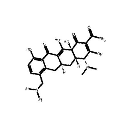 CCN(CC)Cc1ccc(O)c2c1C[C@@H]1C[C@H]3[C@@H](N(C)C)C(O)=C(C(N)=O)C(=O)[C@@]3(O)C(O)=C1C2=O